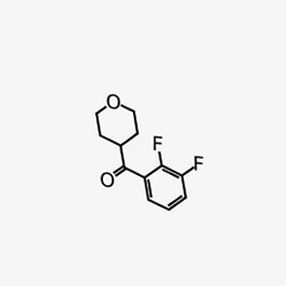 O=C(c1cccc(F)c1F)C1CCOCC1